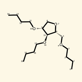 CCCCOC[C@H]1OC[C@@H](OCCCC)[C@@H]1OCCCC